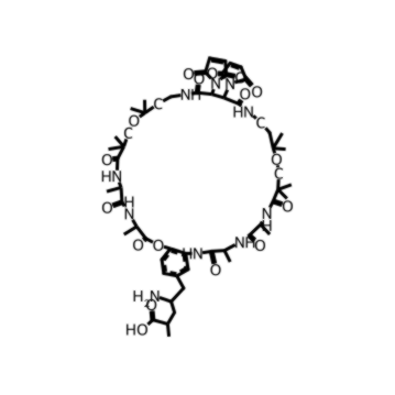 CC(CC(N)Cc1ccc2c(c1)NC(=O)C(C)NC(=O)C(C)NC(=O)C(C)(C)COC(C)(C)CCNC(=O)C(N1C(=O)C=CC1=O)C(N1C(=O)C=CC1=O)C(=O)NCCC(C)(C)OCC(C)(C)C(=O)NC(C)C(=O)NC(C)C(=O)O2)C(=O)O